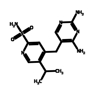 CC(C)c1cnc(S(N)(=O)=O)cc1Cc1cnc(N)nc1N